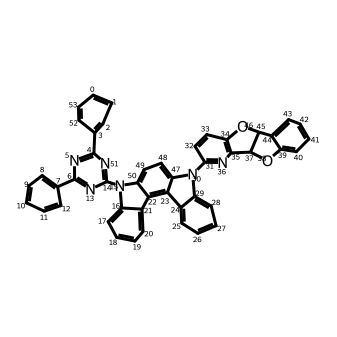 c1ccc(-c2nc(-c3ccccc3)nc(-n3c4ccccc4c4c5c6ccccc6n(-c6ccc7c(n6)C6Oc8ccccc8C6O7)c5ccc43)n2)cc1